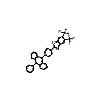 FC(F)(F)c1cc2nc(-c3ccc(-c4c5ccccc5c(-c5ccccc5)c5ccccc45)cc3)oc2cc1C(F)(F)F